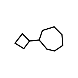 C1CCC[C](C2CCC2)CC1